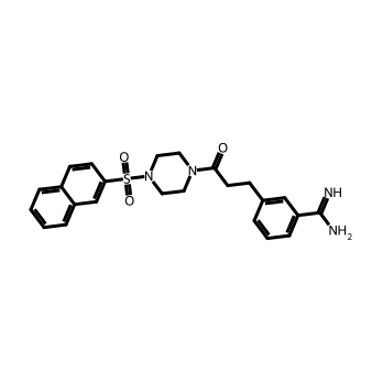 N=C(N)c1cccc(CCC(=O)N2CCN(S(=O)(=O)c3ccc4ccccc4c3)CC2)c1